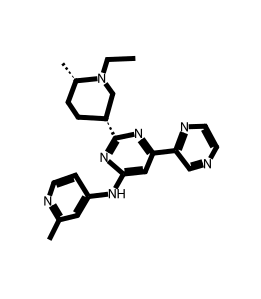 CCN1C[C@H](c2nc(Nc3ccnc(C)c3)cc(-c3cnccn3)n2)CC[C@@H]1C